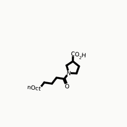 CCCCCCCCCCCC(=O)N1CCC(C(=O)O)C1